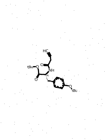 C#CCC(=O)N[C@H](Cc1ccc(OC(C)(C)C)cc1)C(=O)OC(C)(C)C